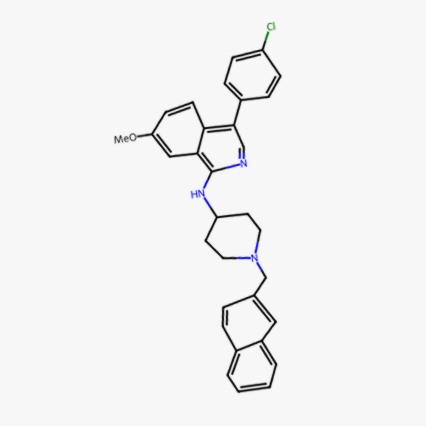 COc1ccc2c(-c3ccc(Cl)cc3)cnc(NC3CCN(Cc4ccc5ccccc5c4)CC3)c2c1